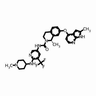 Cc1cc2c(Oc3ccc4c(c3)[C@H](C)N(C(=O)Nc3cnc(NC5CCN(C)CC5)c(C(F)(F)F)c3)CC4)ccnc2[nH]1